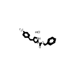 Cl.O=C(OCc1ccccc1)[C@H]1CC(Cc2ccc(C(F)(F)F)cc2)CN1